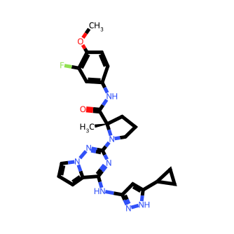 COc1ccc(NC(=O)[C@]2(C)CCCN2c2nc(Nc3cc(C4CC4)[nH]n3)c3cccn3n2)cc1F